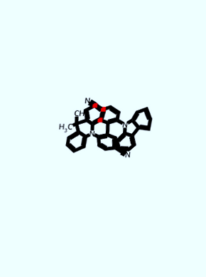 CC1(C)c2ccccc2N(c2ccc(C#N)cc2-c2cc(C#N)ccc2-n2c3ccccc3c3ccccc32)c2ccccc21